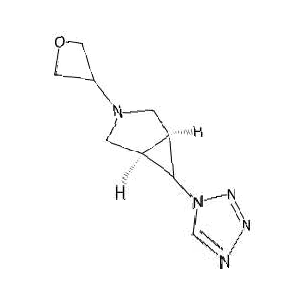 c1nnnn1C1[C@H]2CN(C3COC3)C[C@@H]12